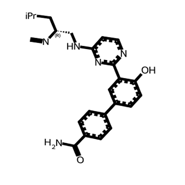 C=N[C@@H](CNc1ccnc(-c2cc(-c3ccc(C(N)=O)cc3)ccc2O)n1)CC(C)C